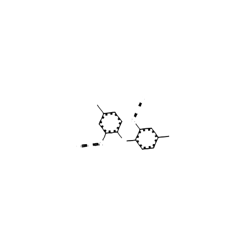 Cc1ccc(Sc2ccc(C)cc2N=C=O)c(N=C=O)c1